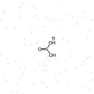 O=S(O)O.[Tl]